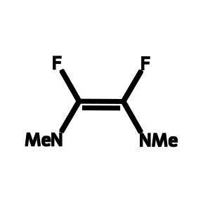 CN/C(F)=C(/F)NC